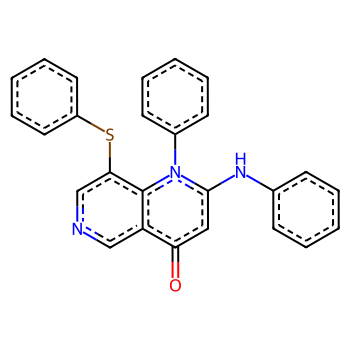 O=c1cc(Nc2ccccc2)n(-c2ccccc2)c2c(Sc3ccccc3)cncc12